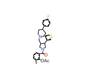 CC(=O)Oc1c(C)cccc1C(=O)N1CC(CN2CCC(c3ccc(F)cc3)CC2)C(c2ccsc2)C1